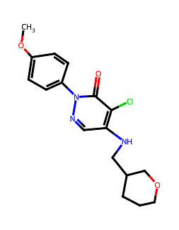 COc1ccc(-n2ncc(NCC3CCCOC3)c(Cl)c2=O)cc1